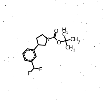 CC(C)(C)OC(=O)N1CCC(c2cccc(C(F)F)c2)C1